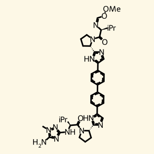 COO/C=N\[C@H](C(=O)N1CCC[C@H]1c1ncc(-c2ccc(-c3ccc(-c4cnc([C@@H]5CCCN5C(=O)[C@@H](Nc5nc(N)n(C)n5)C(C)C)[nH]4)cc3)cc2)[nH]1)C(C)C